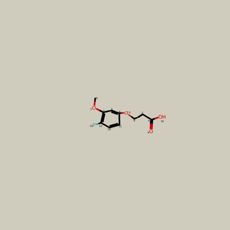 COc1cc(OCCC(=O)O)ccc1F